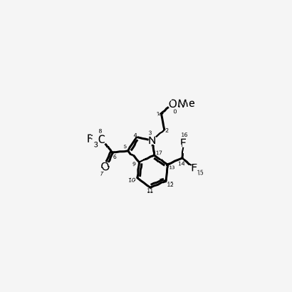 COCCn1cc(C(=O)C(F)(F)F)c2cccc(C(F)F)c21